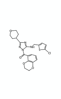 O=C(c1cccc2c1OCCO2)n1nc(C2CCOCC2)nc1NCc1ccc(Cl)s1